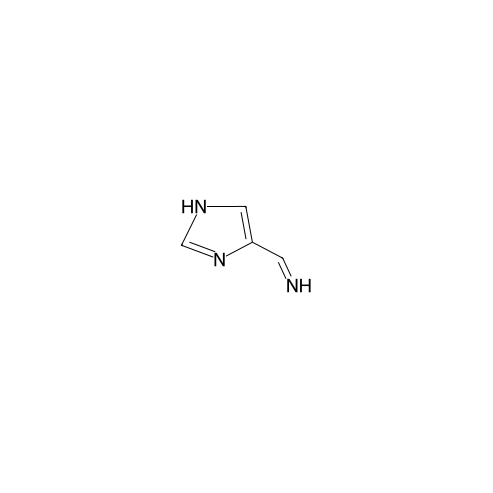 N=Cc1c[nH]cn1